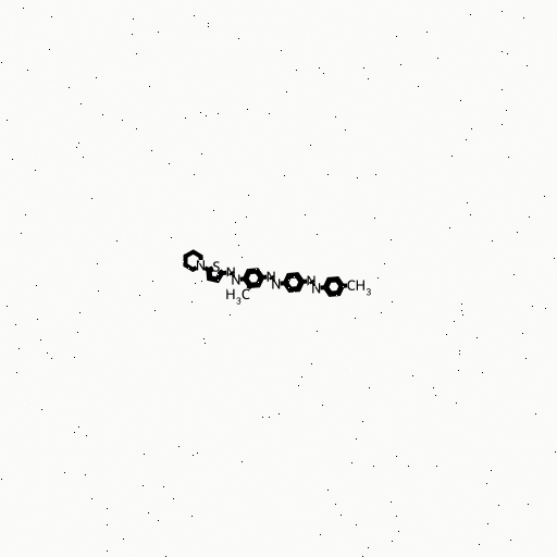 Cc1ccc(N=Nc2ccc(N=Nc3ccc(N=Nc4ccc(N5CCCCC5)s4)c(C)c3)cc2)cc1